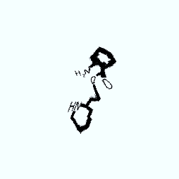 Nc1ccccc1C(=O)OCCC1CCCCCN1